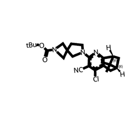 CC(C)(C)OC(=O)N1CC2(CCN(c3nc4c(c(Cl)c3C#N)C[C@H]3C[C@@H]4C3(C)C)C2)C1